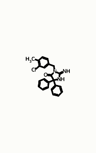 Cc1ccc(CN2C(=N)NC(c3ccccc3)(c3ccccc3)C2=O)cc1Cl